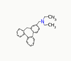 CCN(CC)Cc1ccc2c(c1)Cc1ccccc1-c1ccccc1-2